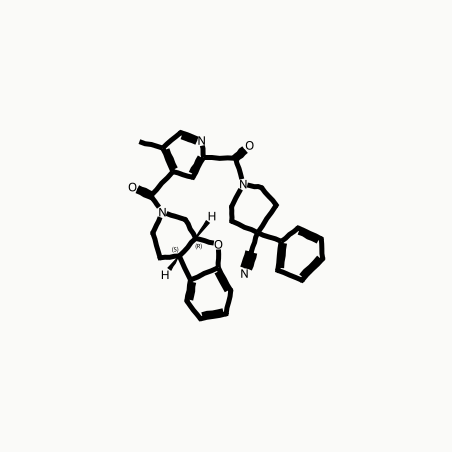 Cc1cnc(C(=O)N2CCC(C#N)(c3ccccc3)CC2)cc1C(=O)N1CC[C@H]2c3ccccc3O[C@H]2C1